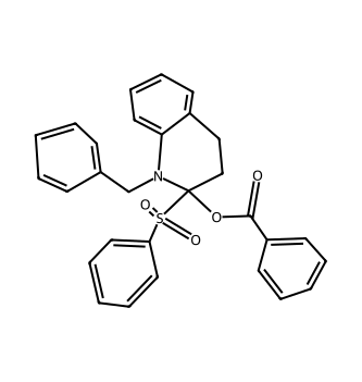 O=C(OC1(S(=O)(=O)c2ccccc2)CCc2ccccc2N1Cc1ccccc1)c1ccccc1